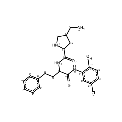 NCC1CNC(C(=O)NC(CCc2ccccc2)C(=O)Nc2cc(Cl)ccc2O)C1